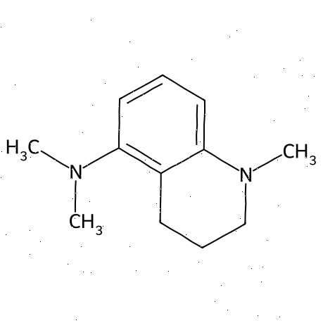 CN(C)c1cccc2c1CCCN2C